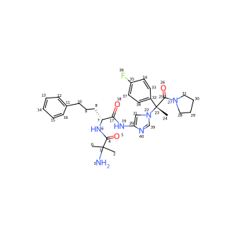 CC(C)(N)C(=O)N[C@H](CCCc1ccccc1)C(=O)Nc1cn([C@@](C)(C(=O)N2CCCC2)c2ccc(F)cc2)cn1